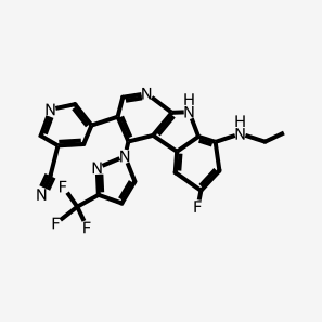 CCNc1cc(F)cc2c1[nH]c1ncc(-c3cncc(C#N)c3)c(-n3ccc(C(F)(F)F)n3)c12